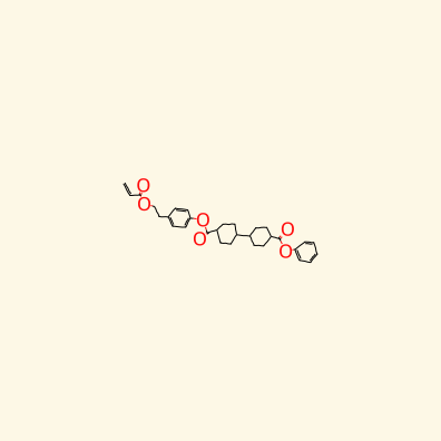 C=CC(=O)OCCc1ccc(OC(=O)C2CCC(C3CCC(C(=O)Oc4ccccc4)CC3)CC2)cc1